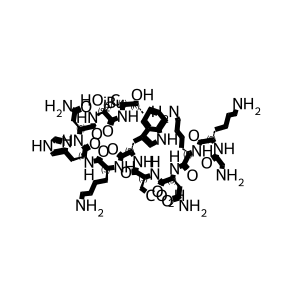 CC[C@H](C)[C@H](NC(=O)[C@H](CC(N)=O)NC(=O)[C@H](Cc1c[nH]cn1)NC(=O)[C@H](CCCCN)NC(=O)[C@H](Cc1c[nH]c2ccccc12)NC(=O)[C@H](CC(=O)O)NC(=O)[C@H](CC(N)=O)NC(=O)[C@H](CCCCN)NC(=O)[C@H](CCCCN)NC(=O)CN)C(=O)N[C@H](C(=O)O)[C@@H](C)O